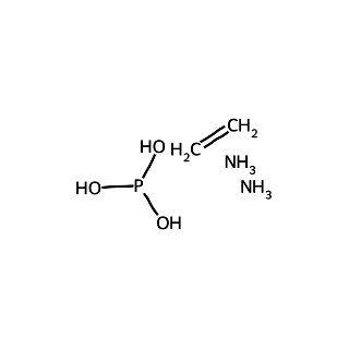 C=C.N.N.OP(O)O